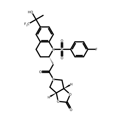 CC(O)(c1ccc2c(c1)CC[C@@H](CC(=O)N1C[C@@H]3OC(=O)O[C@@H]3C1)N2S(=O)(=O)c1ccc(F)cc1)C(F)(F)F